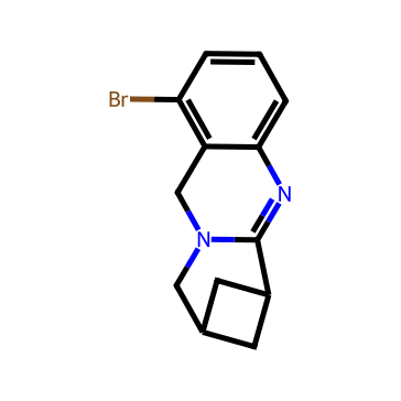 Brc1cccc2c1CN1CC3CC(C3)C1=N2